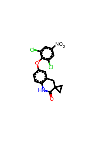 O=C1Nc2ccc(Oc3c(Cl)cc([N+](=O)[O-])cc3Cl)cc2CC12CC2